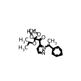 COC(OC)(OC(C)C)C(=O)c1ccnn1[C@H](C)c1ccccc1